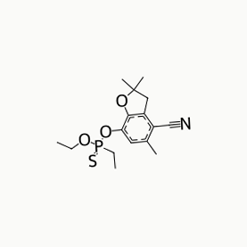 CCOP(=S)(CC)Oc1cc(C)c(C#N)c2c1OC(C)(C)C2